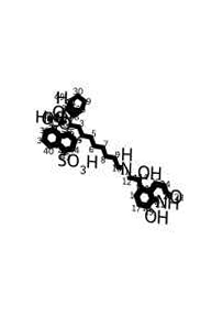 CN(CCCCCCCCCNC[C@@H](O)c1ccc(O)c2[nH]c(=O)ccc12)C1C2CC[C@@H]1[C@H](OS(=O)(=O)c1cccc3c(S(=O)(=O)O)cccc13)C2